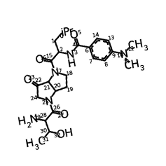 CC(C)CC(NC(=O)c1ccc(N(C)C)cc1)C(=O)N1CCC2C1C(=O)CN2C(=O)C(N)C(C)O